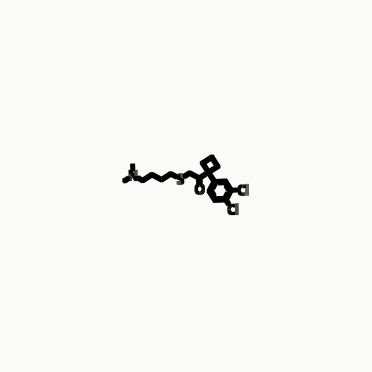 CN(C)CCCCSCC(=O)C1(c2ccc(Cl)c(Cl)c2)CCC1